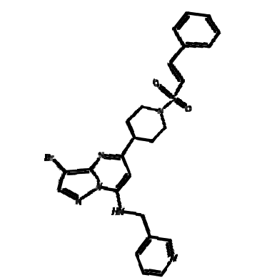 O=S(=O)(/C=C/c1ccccc1)N1CCC(c2cc(NCc3cccnc3)n3ncc(Br)c3n2)CC1